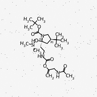 C=C(CNC(C)=O)OC(=O)NCC[C@@]1(O[SiH](C)C)C[C@H](C(C)(C)C)CN1C(=O)OC(C)(C)C